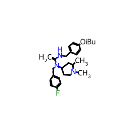 C=C(NCc1ccc(OCC(C)C)cc1)N(Cc1ccc(F)cc1)C1CCN(C)C(C)C1